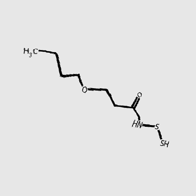 CCCCOCCC(=O)NSS